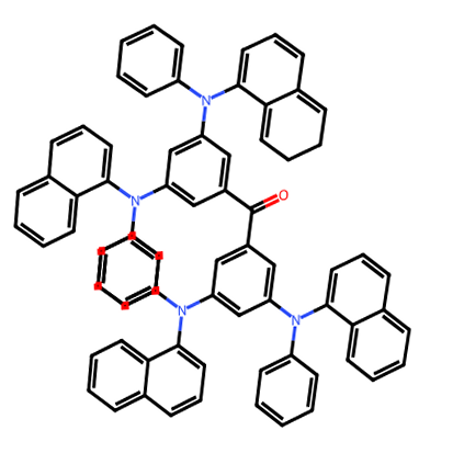 O=C(c1cc(N(c2ccccc2)c2cccc3c2=CCCC=3)cc(N(c2ccccc2)c2cccc3ccccc23)c1)c1cc(N(c2ccccc2)c2cccc3ccccc23)cc(N(c2ccccc2)c2cccc3ccccc23)c1